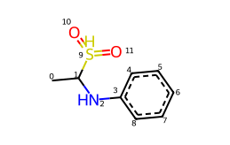 CC(Nc1ccccc1)[SH](=O)=O